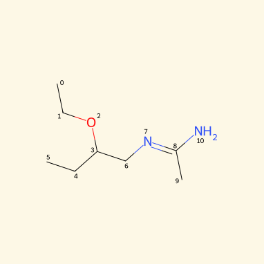 CCOC(CC)C/N=C(\C)N